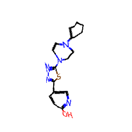 Oc1ccc(-c2nnc(N3CCN(C4CCCC4)CC3)s2)cn1